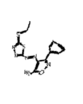 CCSc1nnc(N=Nc2c(-c3ccccc3)noc2O)s1